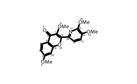 COc1ccc2c(=O)c(OC)c(-c3ccc(OC)c(OC)n3)oc2c1